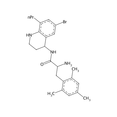 CCCc1cc(Br)cc2c1NCCC2NC(=O)C(N)Cc1c(C)cc(C)cc1C